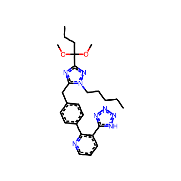 CCCCCn1nc(C(CCC)(OC)OC)nc1Cc1ccc(-c2ncccc2-c2nnn[nH]2)cc1